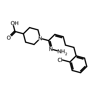 N/N=C(\C=C/CCc1ccccc1Cl)N1CCC(C(=O)O)CC1